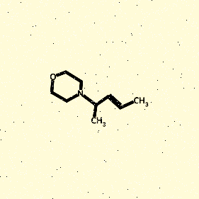 CC=CC(C)N1CCOCC1